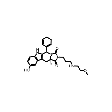 COCCNCCCN1C(=O)N2[C@H](C3=CCCC=C3)c3[nH]c4ccc(O)cc4c3C[C@@]2(C)C1=O